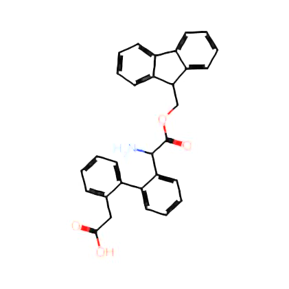 NC(C(=O)OCC1c2ccccc2-c2ccccc21)c1ccccc1-c1ccccc1CC(=O)O